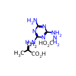 C=C(C)C(=O)O.NC(=O)O.Nc1nc(N)nc(N)n1